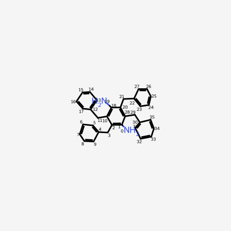 Nc1c(Cc2ccccc2)c(Cc2ccccc2)c(N)c(Cc2ccccc2)c1Cc1ccccc1